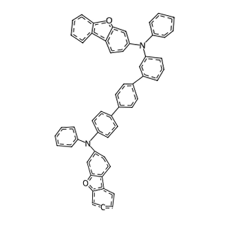 c1ccc(N(c2ccc(-c3ccc(-c4cccc(N(c5ccccc5)c5ccc6c(c5)oc5ccccc56)c4)cc3)cc2)c2ccc3c(c2)oc2ccccc23)cc1